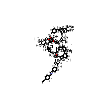 C#Cc1ccc(/C=C/c2ccc(NC(=O)CNC(=O)C3NC(=O)[C@H]4NC(=O)[C@H](NC(=O)C5NC(=O)[C@H](CC(N)=O)NC(=O)[C@H](NC(=O)[C@@H](CC(C)C)NC)[C@H](O)c6ccc(cc6)Oc6cc5cc(c6O[C@@H]5O[C@H](CO)[C@@H](O)[C@H](O)[C@H]5OC5C[C@](C)(N)[C@H](O)[C@H](C)O5)Oc5ccc(cc5Cl)[C@H]4O)c4ccc(O)c(c4)-c4c(O)cc(O)cc43)cc2)cc1